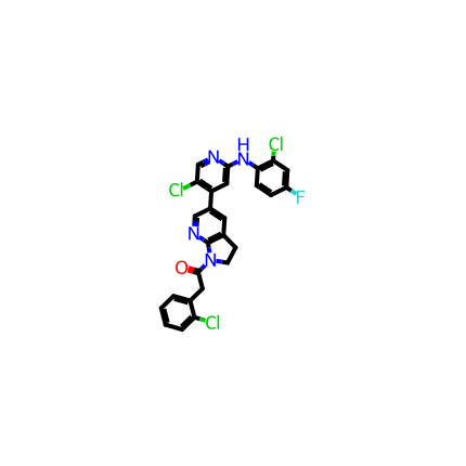 O=C(Cc1ccccc1Cl)N1CCc2cc(-c3cc(Nc4ccc(F)cc4Cl)ncc3Cl)cnc21